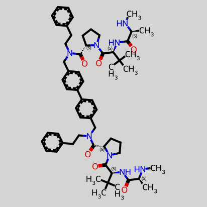 CN[C@@H](C)C(=O)N[C@H](C(=O)N1CCC[C@H]1C(=O)N(CCc1ccccc1)Cc1ccc(-c2ccc(CN(CCc3ccccc3)C(=O)[C@@H]3CCCN3C(=O)[C@@H](NC(=O)[C@H](C)NC)C(C)(C)C)cc2)cc1)C(C)(C)C